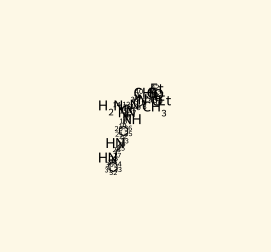 CCOP(=O)(CCN1C(C)CN(c2cc(N)nc(NC[C@H]3CC[C@H](CNCCCNC4CCCCC4)CC3)n2)CC1C)OCC